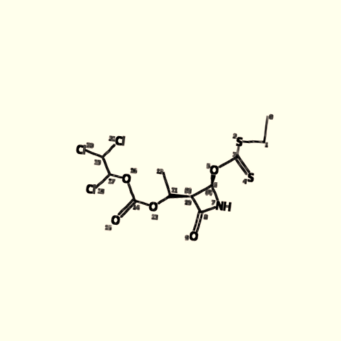 CCSC(=S)O[C@H]1NC(=O)[C@H]1C(C)OC(=O)OC(Cl)C(Cl)Cl